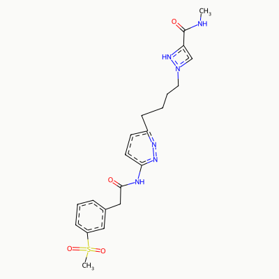 CNC(=O)c1cn(CCCCc2ccc(NC(=O)Cc3cccc(S(C)(=O)=O)c3)nn2)[nH]1